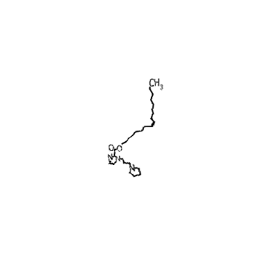 CCCCCCCC/C=C\CCCCCCCOC(=O)C1N=CCN1CCCN1CCCC1